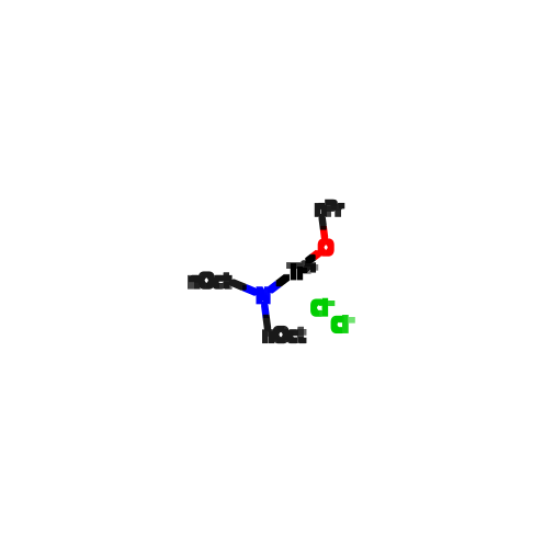 CCCCCCCC[N](CCCCCCCC)[Ti+2][O]CCC.[Cl-].[Cl-]